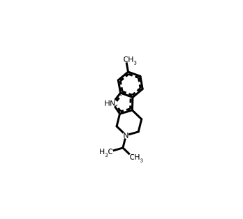 Cc1ccc2c3c([nH]c2c1)CN(C(C)C)CC3